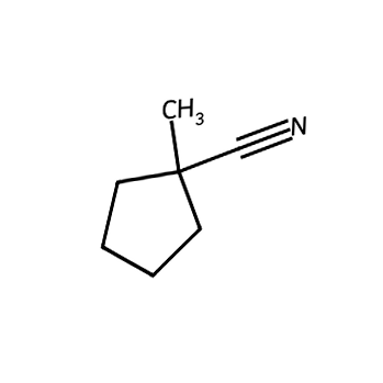 CC1(C#N)CCCC1